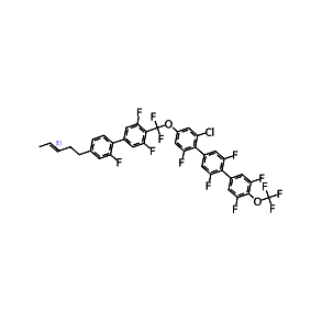 C/C=C/CCc1ccc(-c2cc(F)c(C(F)(F)Oc3cc(F)c(-c4cc(F)c(-c5cc(F)c(OC(F)(F)F)c(F)c5)c(F)c4)c(Cl)c3)c(F)c2)c(F)c1